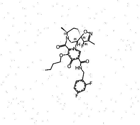 CCCCOc1c2n(cc(C(=O)NCc3ccc(F)cc3F)c1=O)[C@@H]1CN(C2=O)[C@@H](C)CC[C@@]12ON=C(C)[C@H]2F